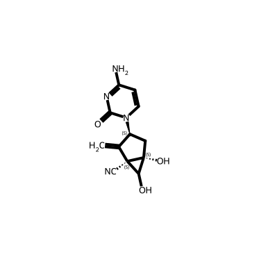 C=C1[C@@H](n2ccc(N)nc2=O)C[C@@]2(O)C(O)[C@@]12C#N